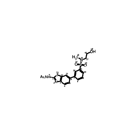 CC(=O)Nc1nc2ccc(-c3cccc(S(=O)(=O)N(C)CCO)c3)cc2s1